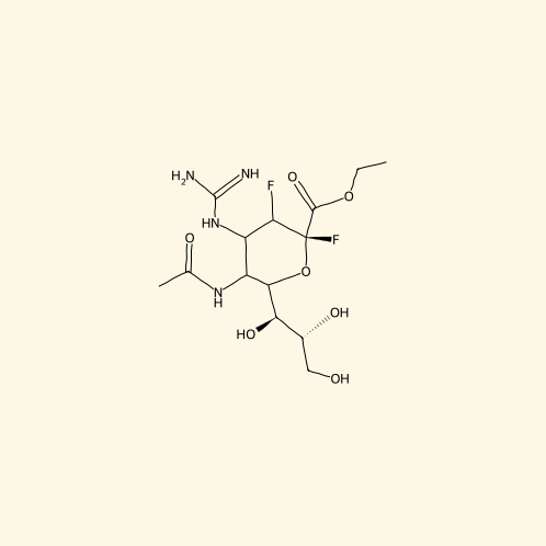 CCOC(=O)[C@]1(F)OC([C@H](O)[C@H](O)CO)C(NC(C)=O)C(NC(=N)N)C1F